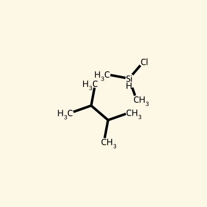 CC(C)C(C)C.C[SiH](C)Cl